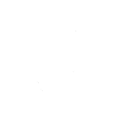 Nc1ccccc1-c1c(N)cccc1OC(=O)c1cccc(C(=O)O)c1